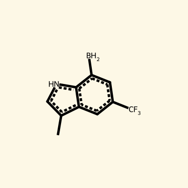 Bc1cc(C(F)(F)F)cc2c(C)c[nH]c12